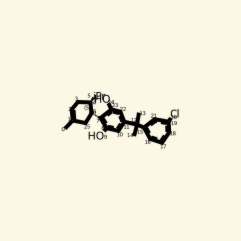 CC1=CC[C@@H](C(C)C)[C@H](c2c(O)cc(C(C)(C)c3cccc(Cl)c3)cc2O)C1